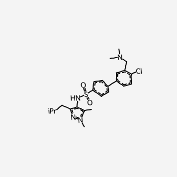 Cc1c(NS(=O)(=O)c2ccc(-c3ccc(Cl)c(CN(C)C)c3)cc2)c(CC(C)C)nn1C